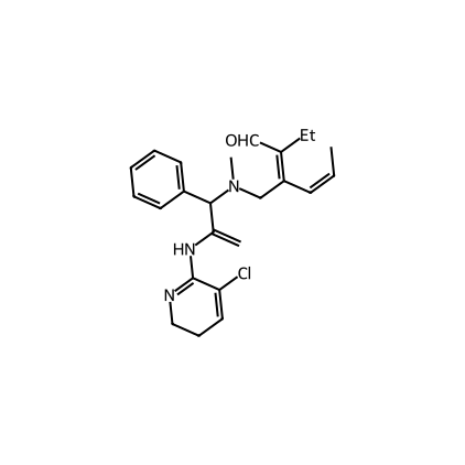 C=C(NC1=NCCC=C1Cl)C(c1ccccc1)N(C)CC(/C=C\C)=C(\C=O)CC